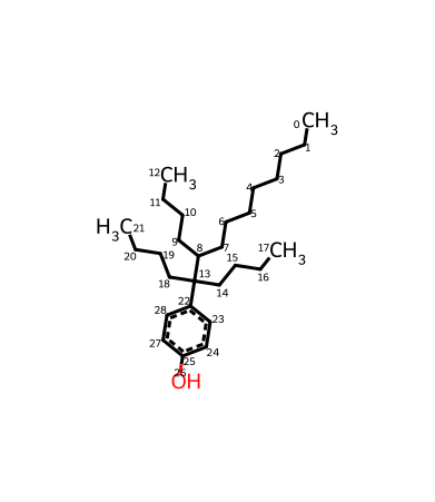 CCCCCCCCC(CCCC)C(CCCC)(CCCC)c1ccc(O)cc1